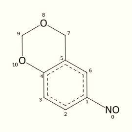 O=Nc1ccc2c(c1)COCO2